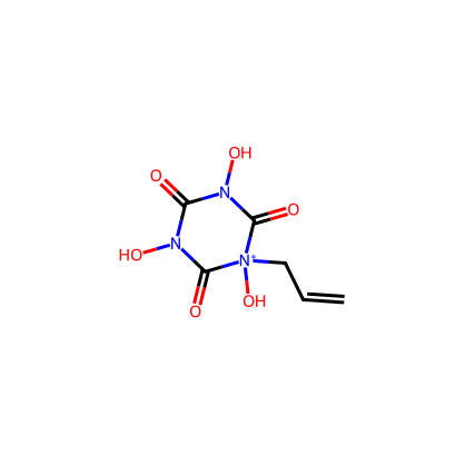 C=CC[N+]1(O)C(=O)N(O)C(=O)N(O)C1=O